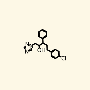 OC(Cn1cncn1)C(CCc1ccc(Cl)cc1)c1ccccc1